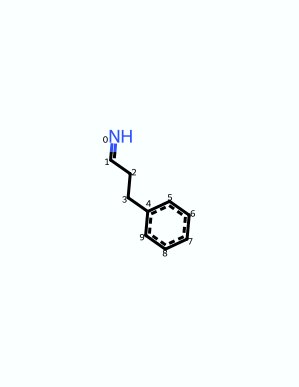 N=CCCc1ccccc1